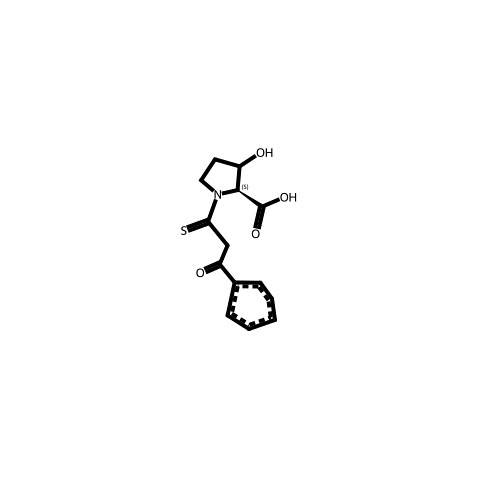 O=C(CC(=S)N1CCC(O)[C@H]1C(=O)O)c1ccccc1